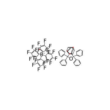 Fc1c(F)c(F)c([B-](c2c(F)c(F)c(F)c(F)c2F)(c2c(F)c(F)c(F)c(F)c2F)c2c(F)c(F)c(F)c(F)c2F)c(F)c1F.c1ccc(C(OC(c2ccccc2)(c2ccccc2)c2ccccc2)(c2ccccc2)c2ccccc2)cc1